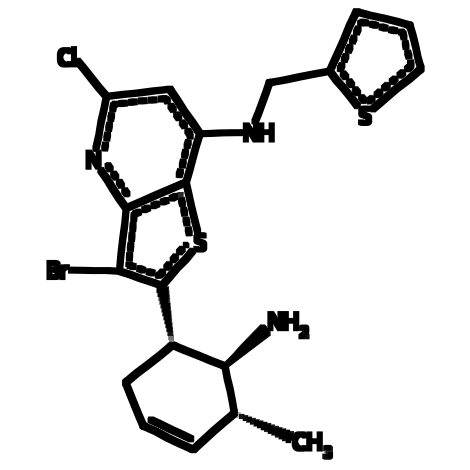 C[C@@H]1C=CC[C@H](c2sc3c(NCc4cccs4)cc(Cl)nc3c2Br)[C@H]1N